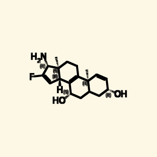 C[C@]12CCC3=C([C@@H](O)CC4C[C@@H](O)C=C[C@]34C)[C@@H]1C=C(F)[C@@H]2N